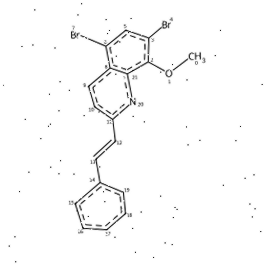 COc1c(Br)cc(Br)c2ccc(/C=C/c3ccccc3)nc12